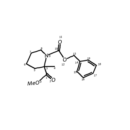 COC(=O)C1(C)CCCCN1C(=O)OCc1ccccc1